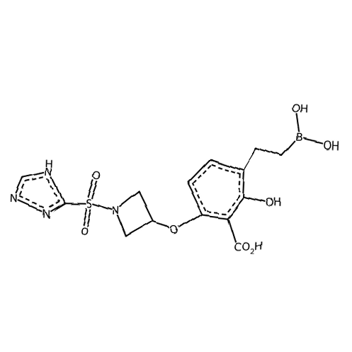 O=C(O)c1c(OC2CN(S(=O)(=O)c3nnc[nH]3)C2)ccc(CCB(O)O)c1O